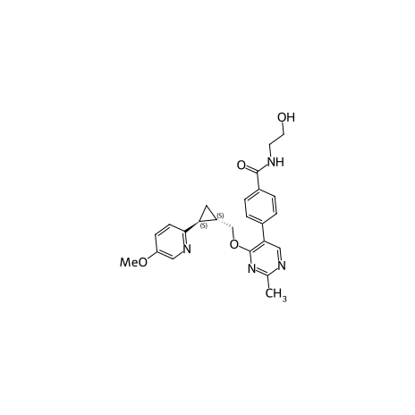 COc1ccc([C@H]2C[C@@H]2COc2nc(C)ncc2-c2ccc(C(=O)NCCO)cc2)nc1